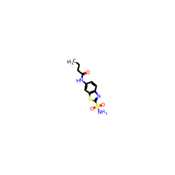 CCCC(=O)Nc1ccc2nc(S(N)(=O)=O)sc2c1